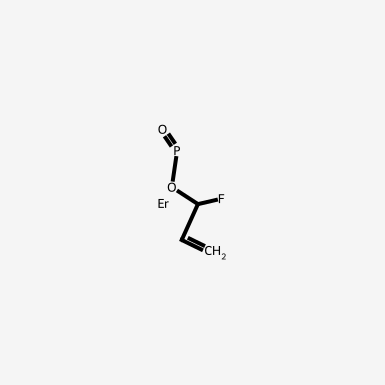 C=CC(F)OP=O.[Er]